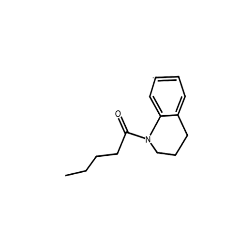 CCCCC(=O)N1CCCc2cc[c]cc21